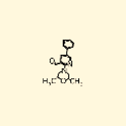 C[C@@H]1CN(c2ncc(-c3ccccc3)cc2C=O)C[C@H](C)O1